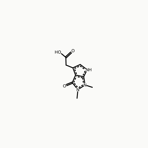 Cn1c(=O)c2c(CC(=O)O)c[nH]c2n1C